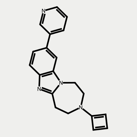 C1=CC(N2CCc3nc4ccc(-c5cccnc5)cc4n3CC2)=C1